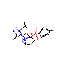 Cc1ccc(S(=O)(=O)OC23CCC(CC(n4c(C)nnc4C(C)C)C2)N3)cc1